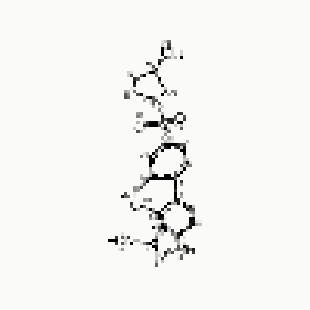 Nc1n[nH]c2ccc(-c3ccc(S(=O)(=O)N4CC[C@@H](O)C4)cc3F)c(Cl)c12